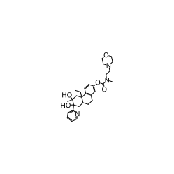 CCC12CC(C)(O)C(O)(c3ccccn3)CC1CCc1cc(OC(=O)N(C)CCN3CCOCC3)ccc12